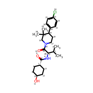 CC(C)[C@@H](NC(=O)[C@H]1CC[C@H](O)CC1)C(=O)N1CCC(c2ccc(Cl)cc2)C(C)(C)C1